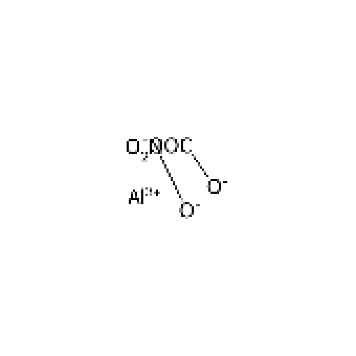 O=C([O-])[O-].O=[N+]([O-])[O-].[Al+3]